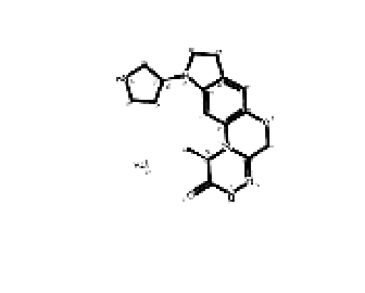 C[C@@H]1C(=O)NN=C2COc3cc4c(cc3N21)N([C@H]1CCNC1)CC4.Cl